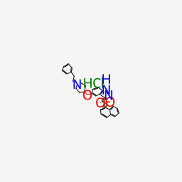 Cl.O=S(=O)(c1cccc2ccccc12)c1n[nH]c2ccc(OC3CCN(CCc4ccccc4)CC3)cc12